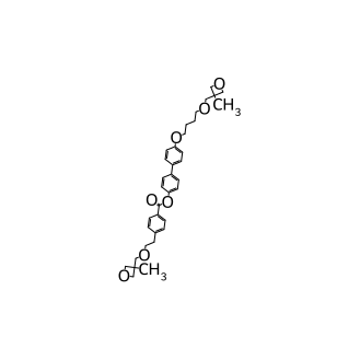 CC1(COCCCCOc2ccc(-c3ccc(OC(=O)c4ccc(CCOCC5(C)COC5)cc4)cc3)cc2)COC1